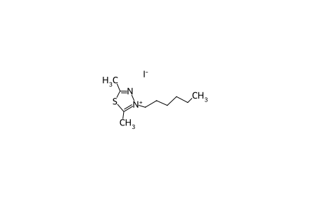 CCCCCC[n+]1nc(C)sc1C.[I-]